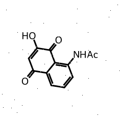 CC(=O)Nc1cccc2c1C(=O)C(O)=CC2=O